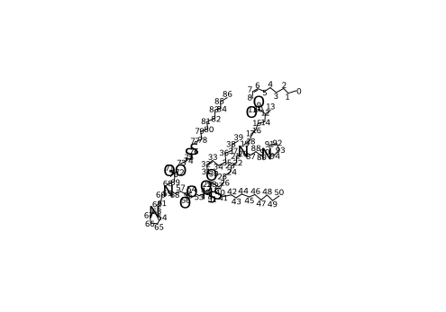 CCCCCC/C=C\COC(=O)C(C)CCCCCCN(CCCCCCC(C(=O)OC/C=C\CCCCCC)[SH](CCCCCCCCCC)SCCOC(=O)CCN(CCCN1CCCC1)CCC(=O)OCCSSCCCCCCCCCC)CCCN1CCCC1